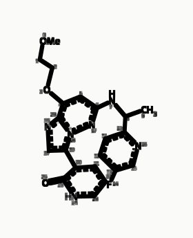 COCCOc1cc(NC(C)c2ccc(F)cn2)nn2c(-c3ccc[nH]c3=O)cnc12